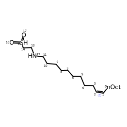 CCCCCCCC/C=C\CCCCCCCCCNCC[SH](=O)=O